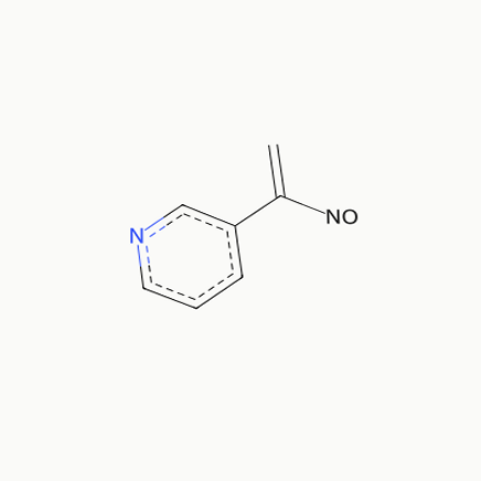 C=C(N=O)c1cccnc1